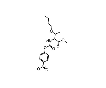 CCCCOC(C)[C@H](NC(=O)Oc1ccc([N+](=O)[O-])cc1)C(=O)OC